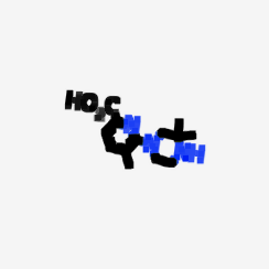 Cc1ccc(C(=O)O)nc1N1CCNC(C)(C)C1